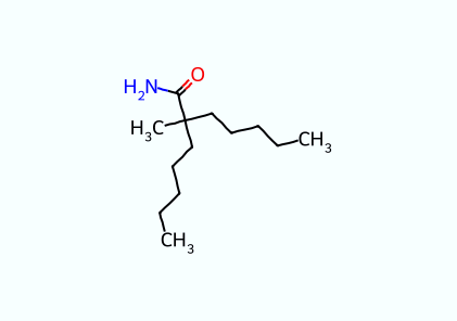 CCCCCC(C)(CCCCC)C(N)=O